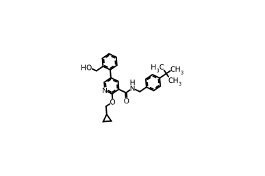 CC(C)(C)c1ccc(CNC(=O)c2cc(-c3ccccc3CO)cnc2OCC2CC2)cc1